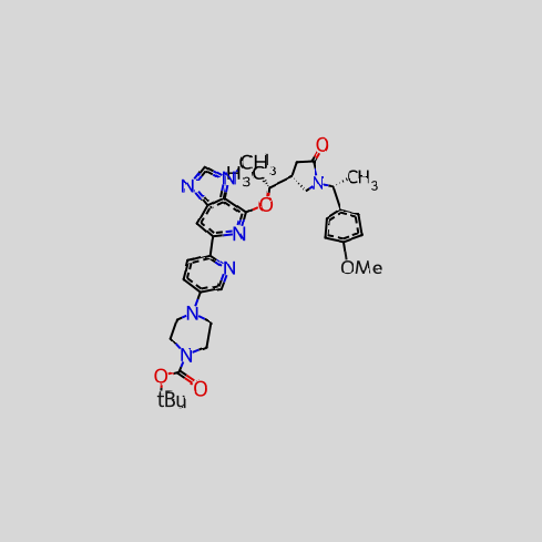 COc1ccc([C@@H](C)N2C[C@H]([C@@H](C)Oc3nc(-c4ccc(N5CCN(C(=O)OC(C)(C)C)CC5)cn4)cc4ncn(C)c34)CC2=O)cc1